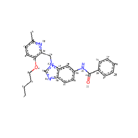 CCCCOc1ccc(C)nc1Cn1cnc2ccc(NC(=O)c3ccccc3)cc21